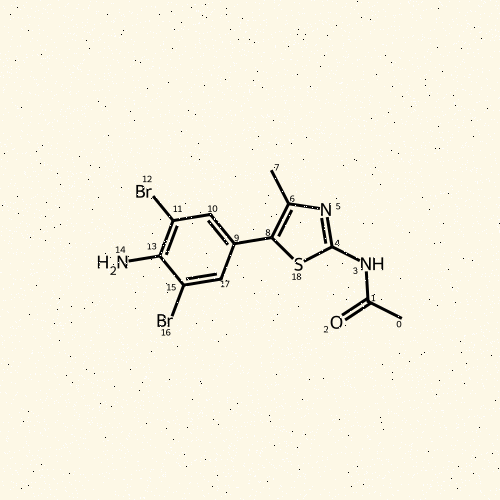 CC(=O)Nc1nc(C)c(-c2cc(Br)c(N)c(Br)c2)s1